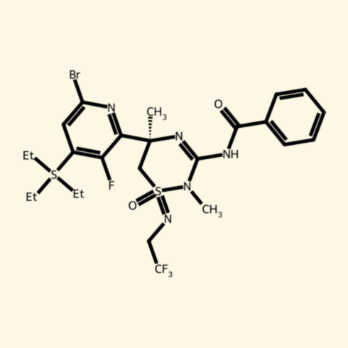 CCS(CC)(CC)c1cc(Br)nc([C@]2(C)CS(=O)(=NCC(F)(F)F)N(C)C(NC(=O)c3ccccc3)=N2)c1F